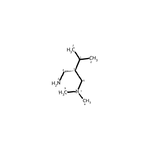 CC(C)[C@@H](CN)CN(C)C